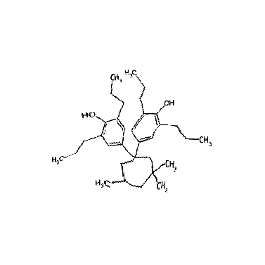 CCCc1cc(C2(c3cc(CCC)c(O)c(CCC)c3)CC(C)CC(C)(C)C2)cc(CCC)c1O